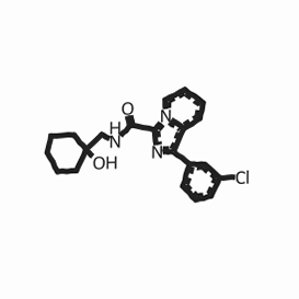 O=C(NCC1(O)CCCCC1)c1nc(-c2cccc(Cl)c2)c2ccccn12